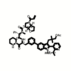 C=CC(=O)N1C[C@@H](C(=O)N(C)[C@H](C(=O)N[C@@H](Cc2cccc(-c3ccc4c(c3)c(CC(C)(C)COC(C)=O)c(-c3cccnc3[C@H](C)OC)n4CC)c2)C(=O)N2CCCCN2)C(C)C)[C@H]2OCC[C@H]21